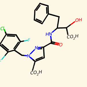 O=C(NC(Cc1ccccc1)C(O)C(=O)O)c1cc(C(=O)O)n(Cc2c(F)cc(Cl)cc2F)n1